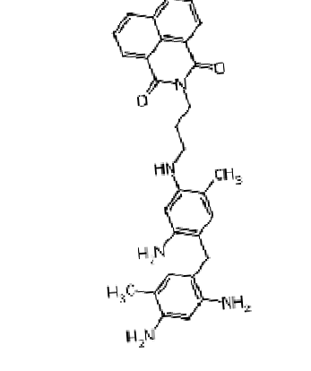 Cc1cc(Cc2cc(C)c(NCCCN3C(=O)c4cccc5cccc(c45)C3=O)cc2N)c(N)cc1N